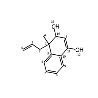 C=CCC1(C)c2ccccc2C(O)=CC1O